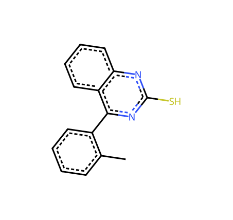 Cc1ccccc1-c1nc(S)nc2ccccc12